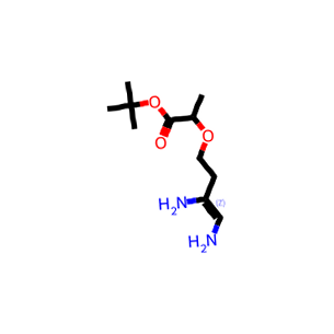 CC(OCC/C(N)=C/N)C(=O)OC(C)(C)C